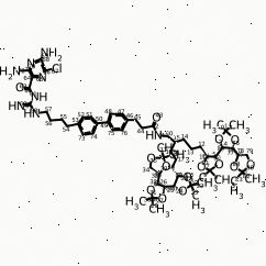 CC1(C)O[C@H]([C@H]2OC(C)(C)O[C@H]2CCCC(CCC[C@@H]2OC(C)(C)O[C@@H]2[C@H]2OC(C)(C)O[C@@H]2[C@H]2COC(C)(C)O2)CNC(=O)CCc2ccc(-c3ccc(CCCCNC(=N)NC(=O)c4nc(Cl)c(N)nc4N)cc3)cc2)[C@@H]([C@H]2COC(C)(C)O2)O1